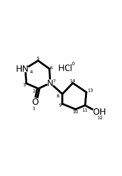 Cl.O=C1CNCCN1C1CCC(O)CC1